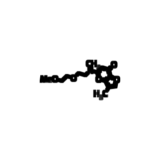 COCCOCCN(C)c1cc(=O)c2occ(C)c2o1